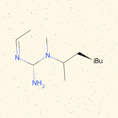 C/C=N\[C@@H](N)N(C)C(C)C[C@H](C)CC